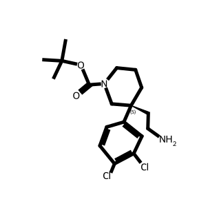 CC(C)(C)OC(=O)N1CCC[C@](CCN)(c2ccc(Cl)c(Cl)c2)C1